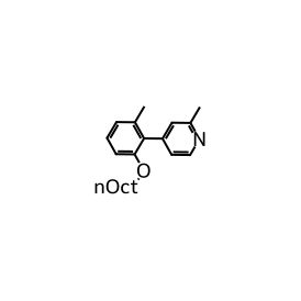 CCCCCCCCOc1cccc(C)c1-c1ccnc(C)c1